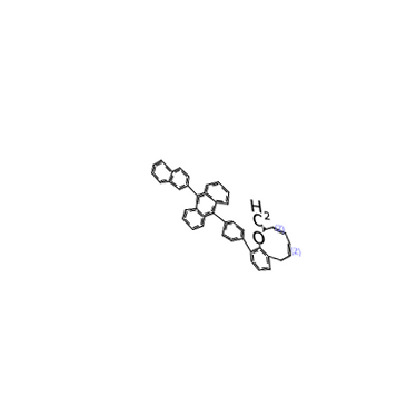 C=C1/C=C\C=C/Cc2cccc(-c3ccc(-c4c5ccccc5c(-c5ccc6ccccc6c5)c5ccccc45)cc3)c2O1